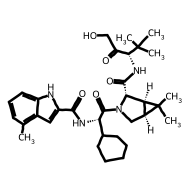 Cc1cccc2[nH]c(C(=O)N[C@H](C(=O)N3C[C@H]4[C@@H]([C@H]3C(=O)N[C@H](C(=O)CO)C(C)(C)C)C4(C)C)C3CCCCC3)cc12